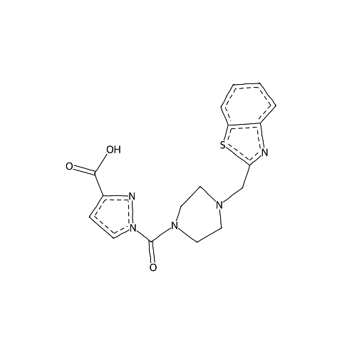 O=C(O)c1ccn(C(=O)N2CCN(Cc3nc4ccccc4s3)CC2)n1